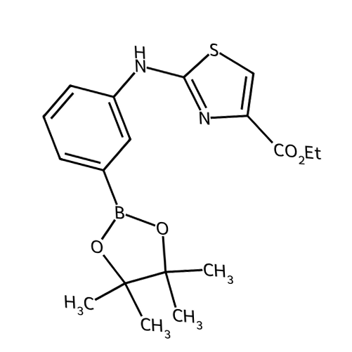 CCOC(=O)c1csc(Nc2cccc(B3OC(C)(C)C(C)(C)O3)c2)n1